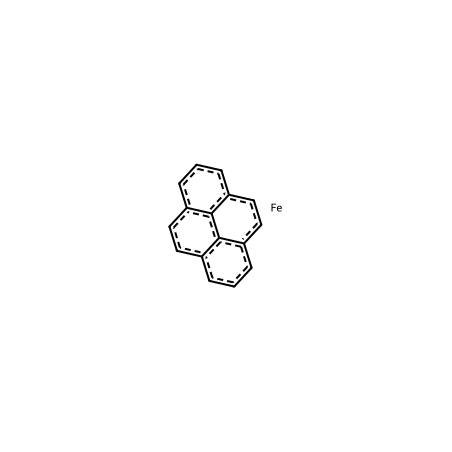 [Fe].c1cc2ccc3cccc4ccc(c1)c2c34